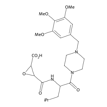 COc1cc(CN2CCN(C(=O)C(CC(C)C)NC(=O)C3OC3C(=O)O)CC2)cc(OC)c1OC